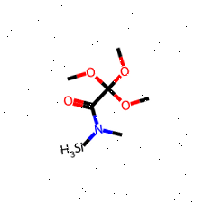 COC(OC)(OC)C(=O)N(C)[SiH3]